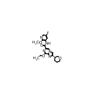 CCOc1nc(C(=O)Nc2cc(F)cnc2OC)cn2cc([C@@H]3CCCOC3)nc12